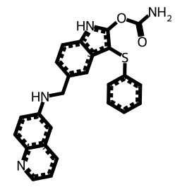 NC(=O)Oc1[nH]c2ccc(CNc3ccc4ncccc4c3)cc2c1Sc1ccccc1